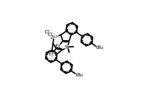 CCC1=C2c3c(-c4ccc(C(C)(C)C)cc4)cccc3[CH]1[Zr+2][CH]1C(CC)=C(c3c(-c4ccc(C(C)(C)C)cc4)cccc31)[Si]2(C)C.[Cl-].[Cl-]